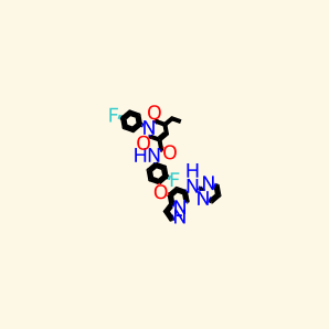 CCC1C=C(C(=O)Nc2ccc(Oc3cc(Nc4ncccn4)cn4nccc34)c(F)c2)C(=O)N(c2ccc(F)cc2)C1=O